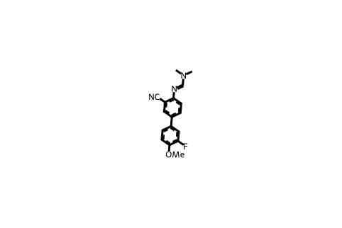 COc1ccc(-c2ccc(N=CN(C)C)c(C#N)c2)cc1F